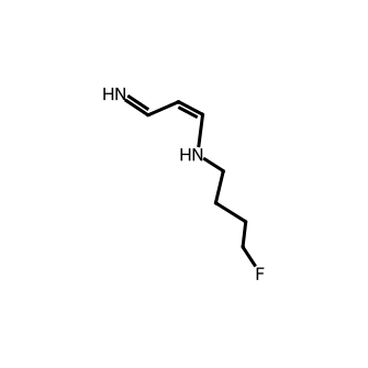 N=C/C=C\NCCCCF